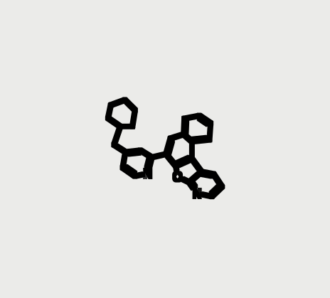 c1ccc2c(c1)cc(-c1cc(CC3CCCCC3)ccn1)c1oc3ncccc3c12